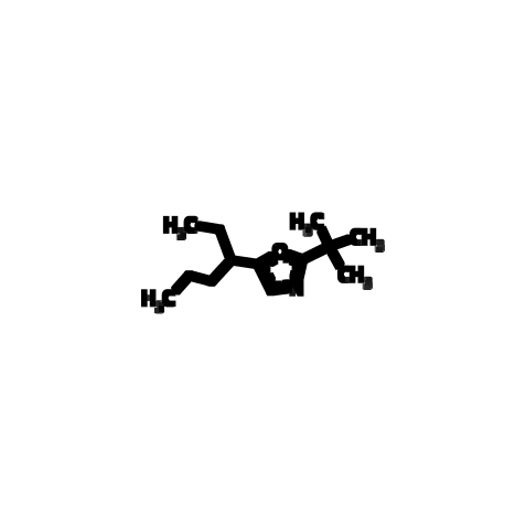 CCCC(CC)c1cnc(C(C)(C)C)o1